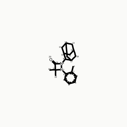 Cc1ccccc1N1N(C2C3CC4CC(C3)CC2C4)C(=O)C1(C)C